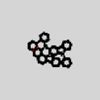 c1ccc(-c2ccccc2N(c2ccc3c(c2)c2ccccc2n3-c2ccccc2)c2cccc3ccc4c5ccccc5oc4c23)cc1